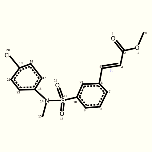 COC(=O)/C=C/c1cccc(S(=O)(=O)N(C)c2ccc(Cl)cc2)c1